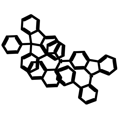 c1ccc(-c2ccccc2-n2c3ccccc3c3ccc(N(c4ccc5c(c4)C(c4ccccc4)(c4ccccc4-c4ccccc4)c4ccccc4-5)c4cccc5ccccc45)cc32)cc1